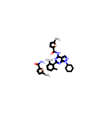 Cc1cccc(C(=O)O)c1-c1nc(NC(=O)c2ccc([N+](=O)[O-])s2)c2cnn(C3CCCCC3)c2n1.NC(=O)c1ccc([N+](=O)[O-])s1